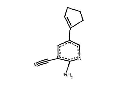 N#Cc1cc(C2=CCCC2)cnc1N